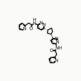 O=C(Cc1ccccn1)Nc1ccc([C@@H]2CC[C@@H](c3ccc(NC(=O)Cc4ccccn4)nn3)C2)nn1